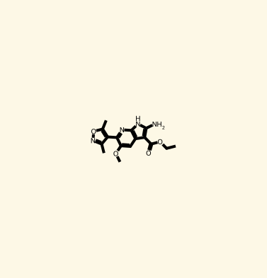 CCOC(=O)c1c(N)[nH]c2nc(-c3c(C)noc3C)c(OC)cc12